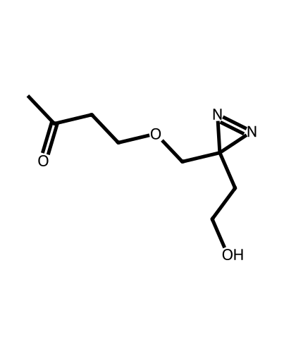 CC(=O)CCOCC1(CCO)N=N1